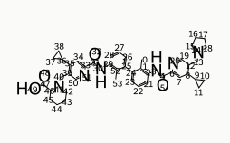 Cc1c(NC(=O)c2cc(C3CC3)c(CN3CCCC3)cn2)cccc1-c1cccc(NC(=O)c2cc(C3CC3)c(CN3CCCC[C@H]3C(=O)O)cn2)c1C